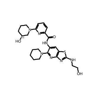 O=C(Nc1cc2sc(NCCO)nc2nc1N1CCCCC1)c1cccc(N2CCC[C@H](O)C2)n1